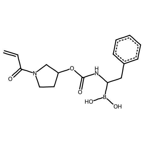 C=CC(=O)N1CCC(OC(=O)NC(Cc2ccccc2)B(O)O)C1